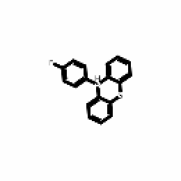 Fc1ccc([SH]2c3ccccc3Sc3ccccc32)cc1